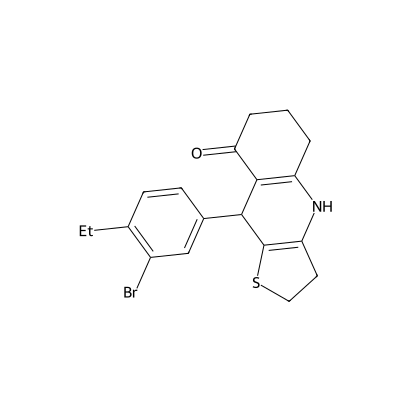 CCc1ccc(C2C3=C(CCS3)NC3=C2C(=O)CCC3)cc1Br